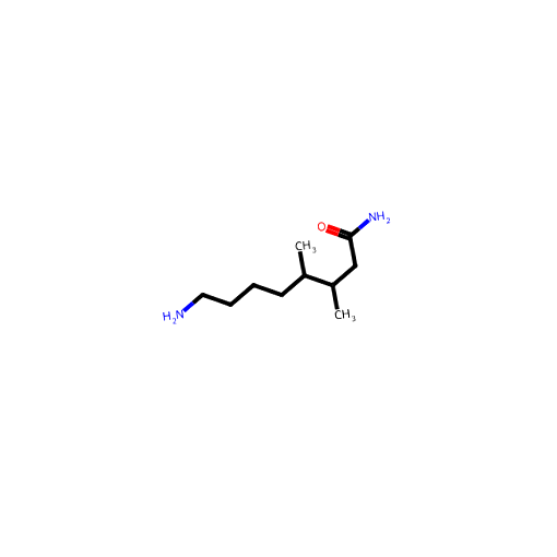 C[C](CC(N)=O)C(C)CCCCN